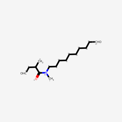 CC(CC=O)C(=O)N(C)CCCCCCCCCC=O